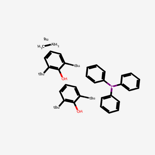 CC(C)(C)c1cccc(C(C)(C)C)c1O.CC(C)(C)c1cccc(C(C)(C)C)c1O.[CH3][AlH2].[Ru].c1ccc(P(c2ccccc2)c2ccccc2)cc1